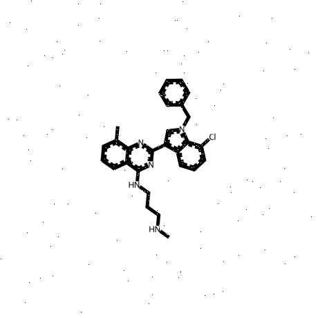 CNCCCNc1nc(-c2cn(Cc3ccccc3)c3c(Cl)cccc23)nc2c(C)cccc12